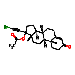 C[C@]12CCC(=O)C=C1CC[C@@H]1[C@H]2CC[C@@]2(C)[C@H]1CCC2(C#CBr)OC(=O)C(F)(F)F